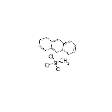 C[Si](Cl)(Cl)Cl.c1ccc2cc3ccccc3cc2c1